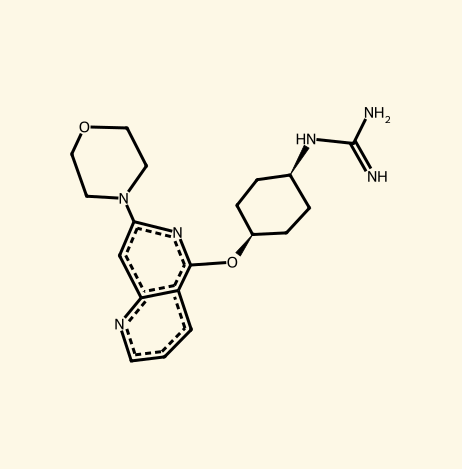 N=C(N)N[C@H]1CC[C@@H](Oc2nc(N3CCOCC3)cc3ncccc23)CC1